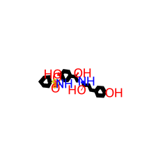 O=S(=O)(Nc1cc([C@@H](O)CN[C@@H](O)CCc2ccc(O)cc2)ccc1O)c1ccccc1